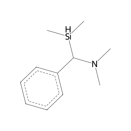 CN(C)C(c1ccccc1)[SiH](C)C